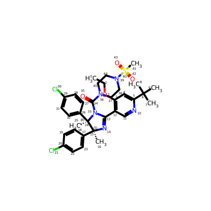 CCOc1cc(C(C)(C)C)ncc1C1=N[C@@](C)(c2ccc(Cl)cc2)[C@@](C)(c2ccc(Cl)cc2)N1C(=O)N1CCN(S(C)(=O)=O)CC1